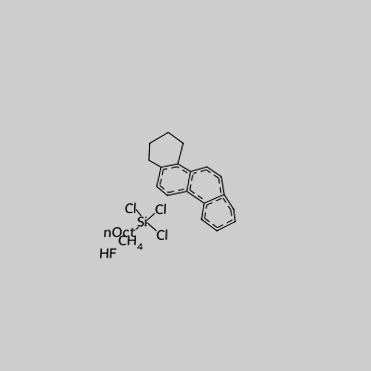 C.CCCCCCCC[Si](Cl)(Cl)Cl.F.c1ccc2c(c1)ccc1c3c(ccc12)CCCC3